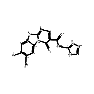 CC(C)c1cc2sc3ncc(C(=O)Nc4nnn[nH]4)c(=O)n3c2cc1C(C)C